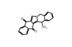 CC1c2ccccc2Cn2cc3c(c21)C(=O)c1ccccc1C3=O